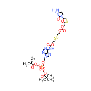 C=C(C)C(=O)OCOP(=O)(COCCn1cnc2c(NC(=O)OCCSSCCOC(=O)OC[C@@H]3OC(n4ccc(N)nc4=O)CS3)ncnc21)OCOC(=O)C(C)(C)C